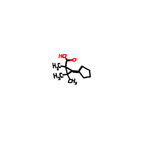 CC1(C)C(=C2CCCC2)C1(C)C(=O)O